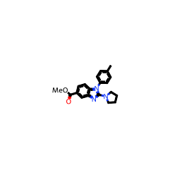 COC(=O)c1ccc2c(c1)nc(N1CCCC1)n2-c1ccc(C)cc1